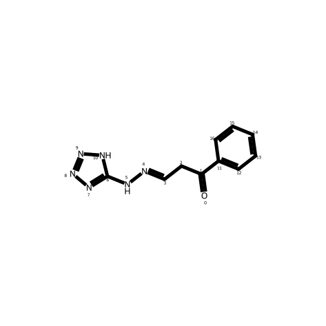 O=C(C/C=N/Nc1nnn[nH]1)c1ccccc1